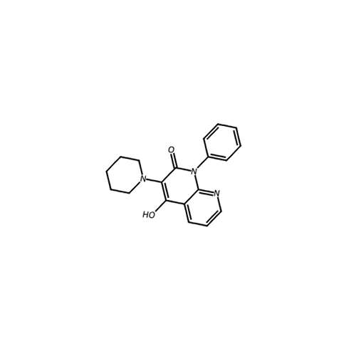 O=c1c(N2CCCCC2)c(O)c2cccnc2n1-c1ccccc1